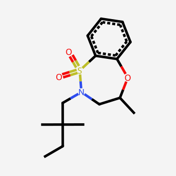 CCC(C)(C)CN1CC(C)Oc2ccccc2S1(=O)=O